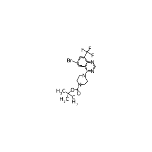 CC(C)(C)OC(=O)N1CCN(c2ncnc3c(C(F)(F)F)cc(Br)cc23)CC1